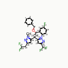 CC(OCc1ccccc1)c1cc(F)ccc1-n1nc(C(F)F)cc1Cc1cc(CC(F)F)nn1C